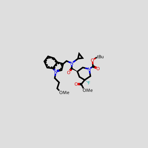 COCCCn1cc(CN(C(=O)[C@H]2CN(C(=O)OC(C)(C)C)C[C@@](F)(C(=O)OC)C2)C2CC2)c2ccccc21